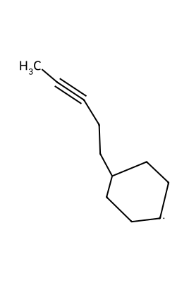 CC#CCCC1CC[CH]CC1